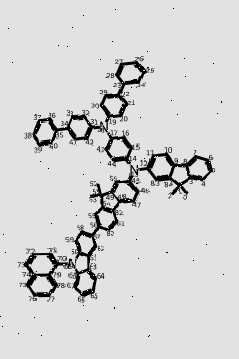 CC1(C)c2ccccc2-c2ccc(N(c3ccc(N(c4ccc(-c5ccccc5)cc4)c4ccc(-c5ccccc5)cc4)cc3)c3ccc4c(c3)C(C)(C)c3cc(-c5ccc6c(c5)c5ccccc5n6-c5cccc6ccccc56)ccc3-4)cc21